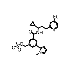 CCc1ccnc(CCC(NC(=O)c2cc(COS(C)(=O)=O)cc(-c3cccn3C)c2)C2CC2)c1